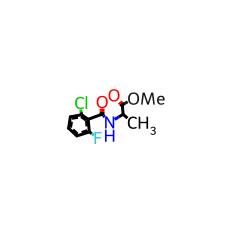 COC(=O)C(C)NC(=O)c1c(F)cccc1Cl